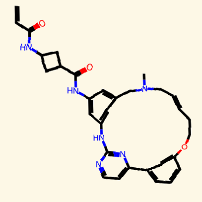 C=CC(=O)NC1CC(C(=O)Nc2cc3cc(c2)Nc2nccc(n2)-c2cccc(c2)OCC/C=C/CN(C)C3)C1